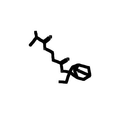 CCC1(OC(=O)CCOC(=O)C(C)C)C2CC3CC(C2)C1C3